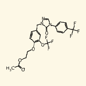 CC(=O)OCCOc1ccc(Cn2ncn(-c3ccc(C(F)(F)F)cc3)c2=O)cc1OC(F)(F)F